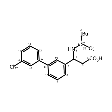 CC(C)(C)[S@@+]([O-])NC(CC(=O)O)c1cccc(-c2cccc(Cl)c2)c1